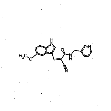 COc1ccc2[nH]cc(C=C(C#N)C(=O)NCc3cccnc3)c2c1